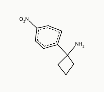 NC1(c2ccc([N+](=O)[O-])cc2)CCC1